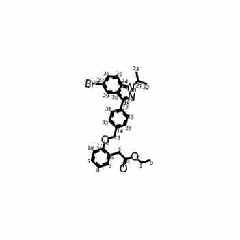 CCOC(=O)Cc1ccccc1OCc1ccc(-c2nn(C(C)C)c3ccc(Br)cc23)cc1